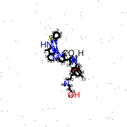 Cc1c(Nc2nc3ccccc3s2)nnc2c1CCCN2c1ccc(-c2cnn(CC3CC4(C)CC5(C)CC3CC(CCCN(C)CCCO)(C4)C5)c2C)c(C(=O)O)n1